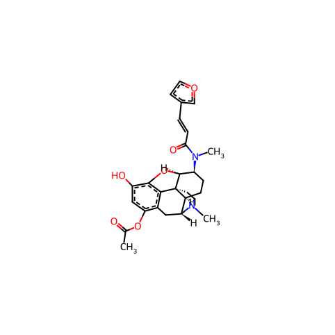 CC(=O)Oc1cc(O)c2c3c1C[C@@H]1[C@@H]4CC[C@H](N(C)C(=O)/C=C/c5ccoc5)[C@H](O2)[C@]34CCN1C